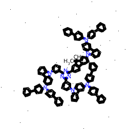 CC1(C)c2cc(-c3nc(-c4cccc(-n5c6ccccc6c6cc(N(c7ccc(-c8ccccc8)cc7)c7ccc(-c8ccccc8)cc7)ccc65)c4)nc(-c4cccc(-n5c6ccccc6c6cc(N(c7ccc(-c8ccccc8)cc7)c7ccc(-c8ccccc8)cc7)ccc65)c4)n3)ccc2-c2ccc(-n3c4ccccc4c4cc(N(c5ccc(-c6ccccc6)cc5)c5ccc(-c6ccccc6)cc5)ccc43)cc21